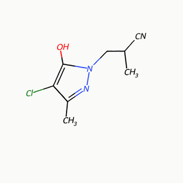 Cc1nn(CC(C)C#N)c(O)c1Cl